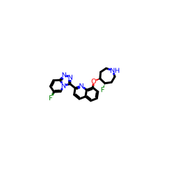 Fc1ccc2nnc(-c3ccc4cccc(O[C@H]5CCNCC[C@@H]5F)c4n3)n2c1